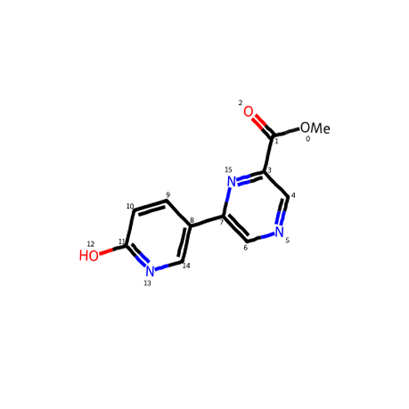 COC(=O)c1cncc(-c2ccc(O)nc2)n1